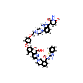 Cc1cc(OC2CCC(OCCN3CCN(c4cccc5c(C6CCC(=O)NC6=O)nn(C)c45)CC3)CC2)ccc1-c1ccc(N2CCc3cccc(C(=O)Nc4nc5ccccc5s4)c3C2)nc1C(=O)O